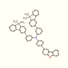 CC1(C)c2ccccc2-c2cc(-c3cccc(N(c4ccc(-c5ccc6oc7ccccc7c6c5)cc4)c4cccc(-c5ccc6c(c5)-c5ccccc5C6(C)C)c4)c3)ccc21